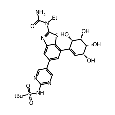 CCN(C(N)=O)c1nc2cc(-c3cnc(NS(=O)(=O)C(C)(C)C)nc3)cc(C3=C[C@H](O)[C@@H](O)[C@H](O)[C@@H]3O)c2s1